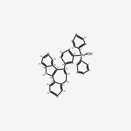 O[PH](c1ccccc1)(c1ccccc1)c1cccc(C2=CCc3ccccc3-c3oc4ccccc4c32)c1